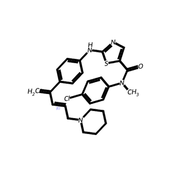 C=C(/C=C/CN1CCCCC1)c1ccc(Nc2ncc(C(=O)N(C)c3ccc(Cl)cc3)s2)cc1